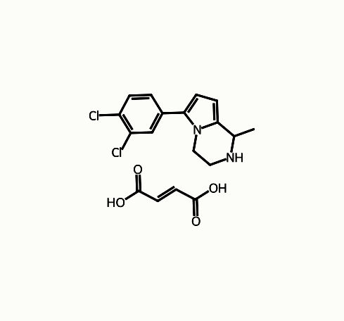 CC1NCCn2c(-c3ccc(Cl)c(Cl)c3)ccc21.O=C(O)C=CC(=O)O